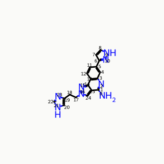 Nc1nc2cc(-c3cc[nH]n3)ccc2c2nn(CCc3c[nH]cn3)cc12